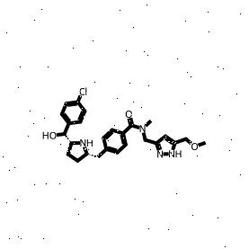 COCc1cc(CN(C)C(=O)c2ccc(C[C@@H]3CC[C@H](C(O)c4ccc(Cl)cc4)N3)cc2)n[nH]1